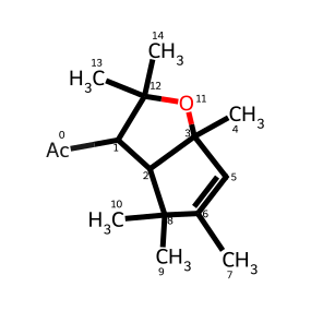 CC(=O)C1C2C(C)(C=C(C)C2(C)C)OC1(C)C